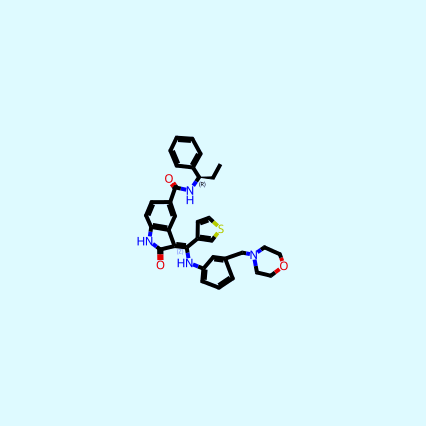 CC[C@@H](NC(=O)c1ccc2c(c1)/C(=C(/Nc1cccc(CN3CCOCC3)c1)c1ccsc1)C(=O)N2)c1ccccc1